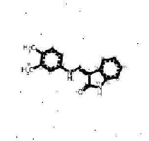 Cc1ccc(NC=C2C(=O)Nc3ccccc32)cc1C